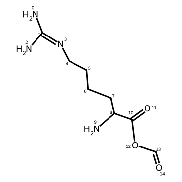 NC(N)=NCCCCC(N)C(=O)OC=O